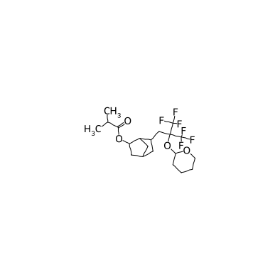 CC(C)C(=O)OC1CC2CC(CC(OC3CCCCO3)(C(F)(F)F)C(F)(F)F)C1C2